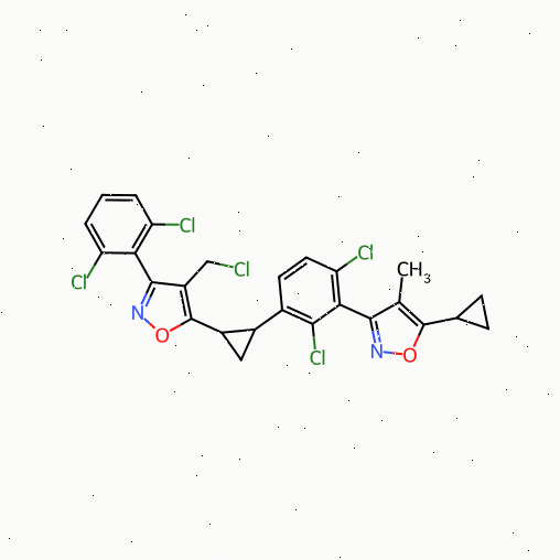 Cc1c(-c2c(Cl)ccc(C3CC3c3onc(-c4c(Cl)cccc4Cl)c3CCl)c2Cl)noc1C1CC1